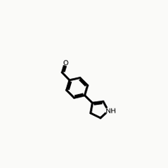 O=Cc1ccc(C2=CNCC2)cc1